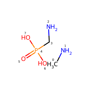 CN.NCP(=O)(O)O